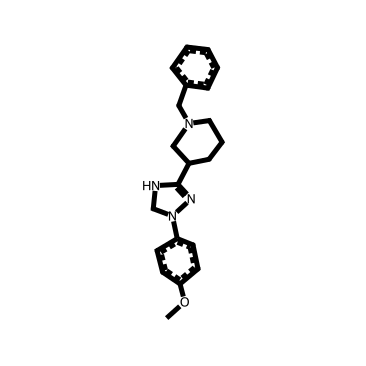 COc1ccc(N2CNC(C3CCCN(Cc4ccccc4)C3)=N2)cc1